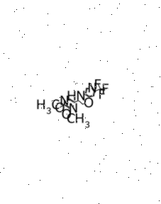 COc1ncc(C2COc3cc(C(F)(F)F)ncc3N2)nc1OC